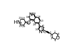 C(#CC1CCOCC1)c1ncc(-c2ccc3cncc(OC4CCNCC4)c3c2)s1